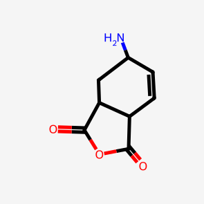 NC1C=CC2C(=O)OC(=O)C2C1